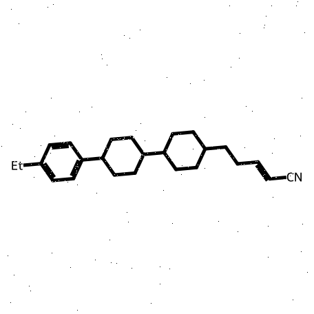 CCc1ccc(C2CCC(C3CCC(CCC=CC#N)CC3)CC2)cc1